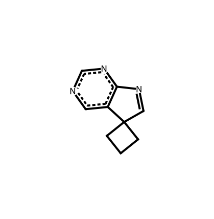 C1=Nc2ncncc2C12CCC2